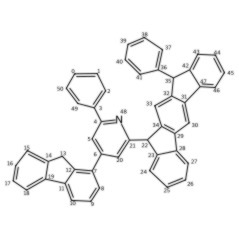 c1ccc(-c2cc(-c3cccc4c3Cc3ccccc3-4)cc(C3c4ccccc4-c4cc5c(cc43)C(c3ccccc3)c3ccccc3-5)n2)cc1